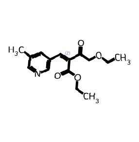 CCOCC(=O)/C(=C/c1cncc(C)c1)C(=O)OCC